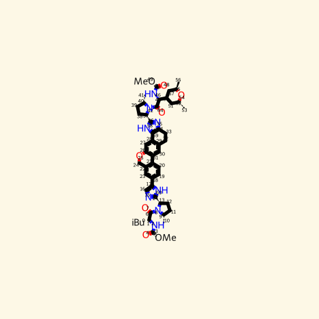 CC[C@H](C)C(NC(=O)OC)C(=O)N1[C@@H](C)CC[C@H]1c1ncc(-c2ccc3c(c2)COc2cc4c(cc2-3)CCc2nc([C@@H]3CC[C@H](C)N3C(=O)[C@@H](NC(=O)OC)C3C[C@@H](C)O[C@H](C)C3)[nH]c2-4)[nH]1